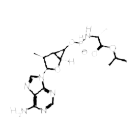 CC(C)OC(=O)[C@@H](C)N[PH](=O)OC1C2[C@@H]1O[C@@H](n1cnc3c(N)ncnc31)[C@H]2C